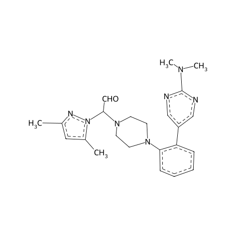 Cc1cc(C)n(C(C=O)N2CCN(c3ccccc3-c3cnc(N(C)C)nc3)CC2)n1